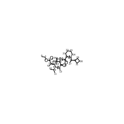 CCOC(=O)/C(C)=C/[C@H](C(C)C)N(C)C(=O)[C@@H](NC(=O)C1CCCCN1C(C)C1CCC1)C(C)(C)C